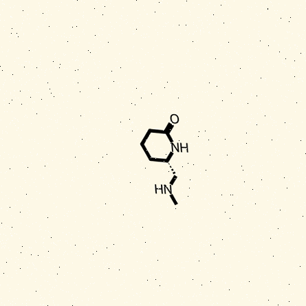 CNC[C@@H]1CCCC(=O)N1